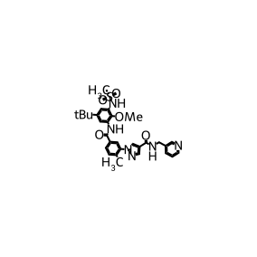 COc1c(NC(=O)c2ccc(C)c(-n3cc(C(=O)NCc4cccnc4)cn3)c2)cc(C(C)(C)C)cc1NS(C)(=O)=O